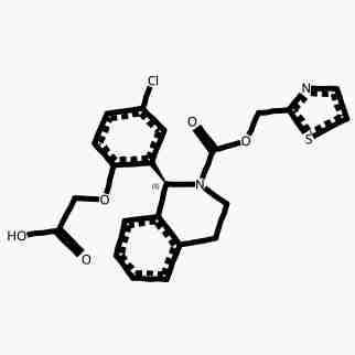 O=C(O)COc1ccc(Cl)cc1[C@@H]1c2ccccc2CCN1C(=O)OCc1nccs1